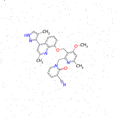 COc1cc(C)nc(Cn2cccc(C#N)c2=O)c1COc1cccc2c(-c3n[nH]cc3C)cc(C)nc12